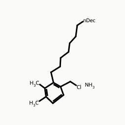 CCCCCCCCCCCCCCCCCc1c(CCl)ccc(C)c1C.N